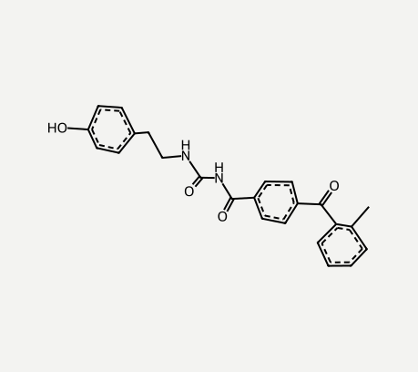 Cc1ccccc1C(=O)c1ccc(C(=O)NC(=O)NCCc2ccc(O)cc2)cc1